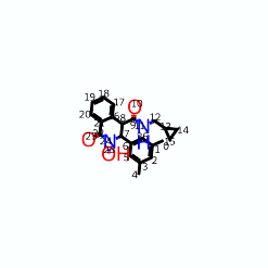 Cc1cc(C)cc(C2C(C(=O)NCC3CC3)c3ccccc3C(=O)N2O)c1